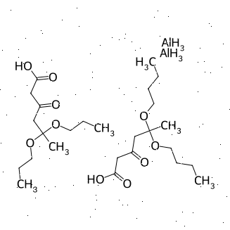 CCCCOC(C)(CC(=O)CC(=O)O)OCCCC.CCCOC(C)(CC(=O)CC(=O)O)OCCC.[AlH3].[AlH3]